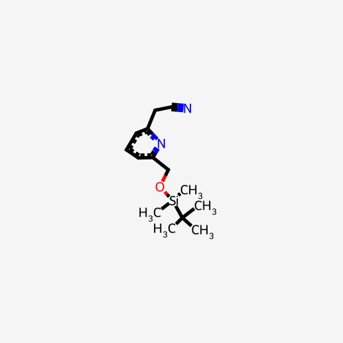 CC(C)(C)[Si](C)(C)OCc1cccc(CC#N)n1